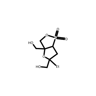 CCC1(CO)CC2C(CO)(COS2(=O)=O)O1